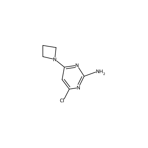 Nc1nc(Cl)cc(N2CCC2)n1